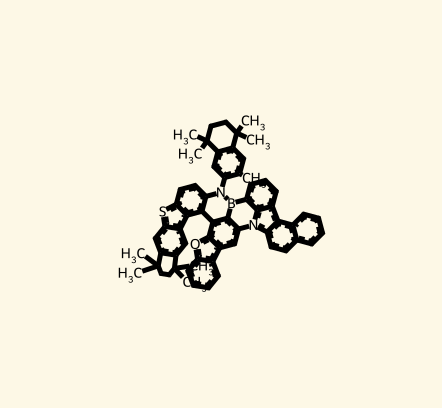 Cc1cc2c(cc1N1B3c4c(cc5c(oc6ccccc65)c4-c4c1ccc1sc5cc6c(cc5c41)C(C)(C)CCC6(C)C)-n1c4ccc5ccccc5c4c4cccc3c41)C(C)(C)CCC2(C)C